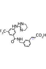 O=C(O)/C=C/c1cccc(CNC(=O)c2cc(NC3=NCCCN3)cc(C(F)(F)F)c2)c1